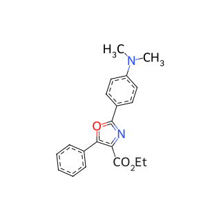 CCOC(=O)c1nc(-c2ccc(N(C)C)cc2)oc1-c1ccccc1